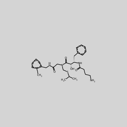 Cc1ccccc1CNC(=O)CN(CSC(C)C)C(=O)[C@@H](O)[C@H](Cc1ccccc1)NC(=O)CCCN